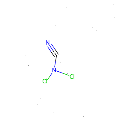 N#CN(Cl)Cl